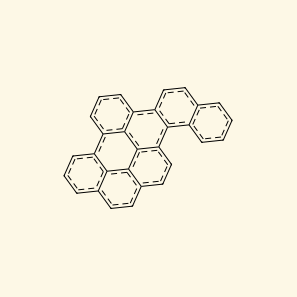 c1ccc2c(c1)ccc1c3cccc4c5cccc6ccc7ccc(c21)c(c34)c7c65